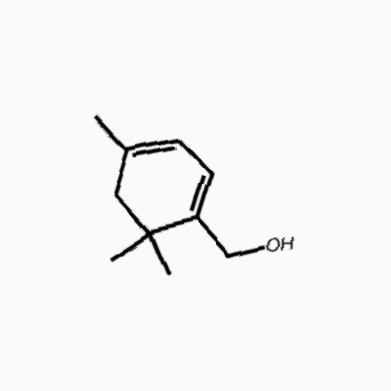 CC1=CC=C(CO)C(C)(C)C1